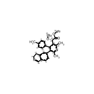 Cc1ccc(-c2c(-c3ccc4c(c3)CCN=C4)c(C)nc(C)c2[C@H](OC(C)(C)C)C(=O)OC(C)C)cc1